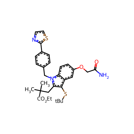 CCOC(=O)C(C)(C)Cc1c(SC(C)(C)C)c2cc(OCC(N)=O)ccc2n1Cc1ccc(-c2nccs2)cc1